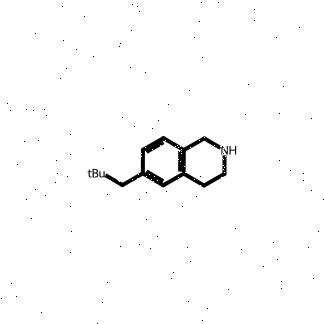 CC(C)(C)Cc1ccc2c(c1)CCNC2